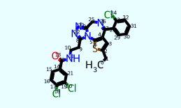 CCc1cc2c(s1)-n1c(CCNC(=O)c3ccc(Cl)c(Cl)c3)nnc1CN=C2c1ccccc1Cl